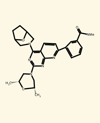 CNC(=O)c1cccc(-c2ccc3c(N4CC5CCC(C4)O5)nc(N4C[C@@H](C)O[C@@H](C)C4)nc3n2)c1